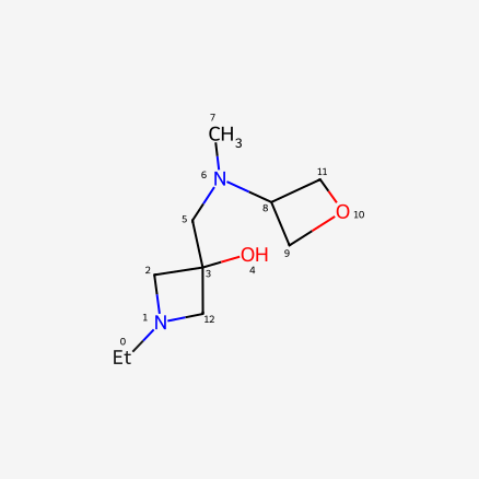 CCN1CC(O)(CN(C)C2COC2)C1